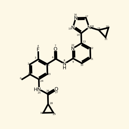 Cc1cc(F)c(C(=O)Nc2cccc(-c3nncn3C3CC3)n2)cc1NC(=O)C1CC1